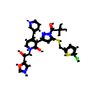 CC(C)(C)C(=O)n1nc(-c2c(-c3cccnc3)ccn(CC(=O)c3cnco3)c2=O)cc1SCc1ccc(Cl)s1